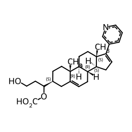 C[C@]12CC[C@H](C(CCO)OC(=O)O)CC1=CC[C@@H]1[C@@H]2CC[C@]2(C)C(c3cccnc3)=CC[C@@H]12